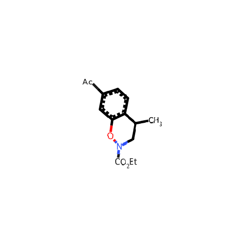 CCOC(=O)N1CC(C)c2ccc(C(C)=O)cc2O1